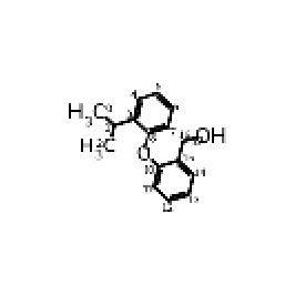 CC(C)c1ccccc1Oc1ccccc1CO